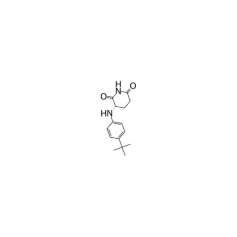 CC(C)(C)c1ccc(N[C@H]2CCC(=O)NC2=O)cc1